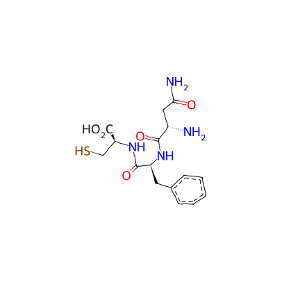 NC(=O)C[C@H](N)C(=O)N[C@@H](Cc1ccccc1)C(=O)N[C@@H](CS)C(=O)O